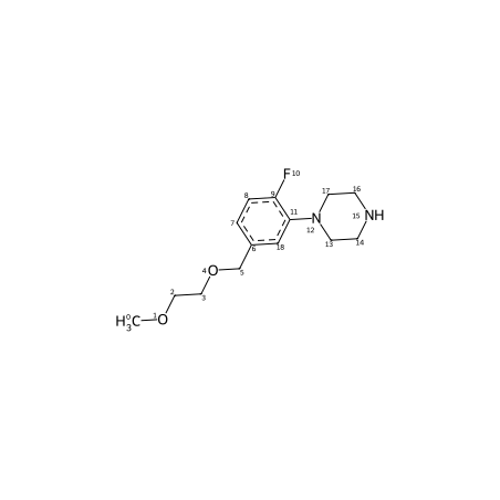 COCCOCc1ccc(F)c(N2CCNCC2)c1